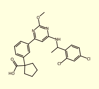 COc1nc(NC(C)c2ccc(Cl)cc2Cl)cc(-c2cccc(C3(C(=O)O)CCCC3)c2)n1